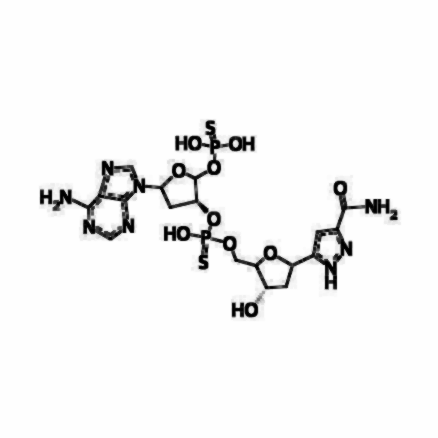 NC(=O)c1cc(C2C[C@H](O)C(COP(O)(=S)O[C@H]3CC(n4cnc5c(N)ncnc54)OC3OP(O)(O)=S)O2)[nH]n1